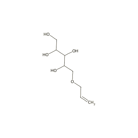 C=CCOCC(O)C(O)C(O)CO